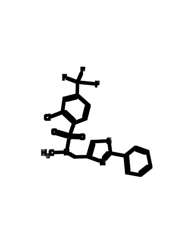 CN(Cc1csc(-c2ccccc2)n1)S(=O)(=O)c1ccc(C(F)(F)F)cc1Cl